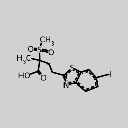 CC(CCc1nc2ccc(I)cc2s1)(C(=O)O)S(C)(=O)=O